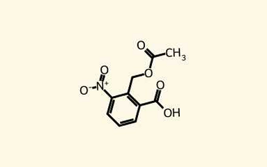 CC(=O)OCc1c(C(=O)O)cccc1[N+](=O)[O-]